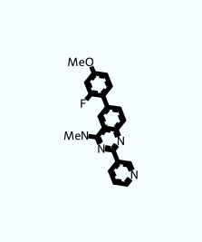 CNc1nc(-c2cccnc2)nc2ccc(-c3ccc(OC)cc3F)cc12